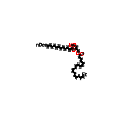 CC/C=C\C/C=C\C/C=C\C/C=C\C/C=C\CCCC(=O)OC[C@H](CO)OC(=O)CCCCCCCCCCCCCCCCCCCCC